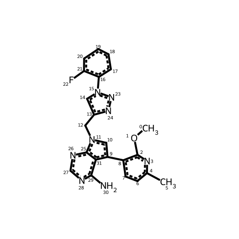 COc1nc(C)ccc1-c1cn(Cc2cn(-c3ccccc3F)nn2)c2ncnc(N)c12